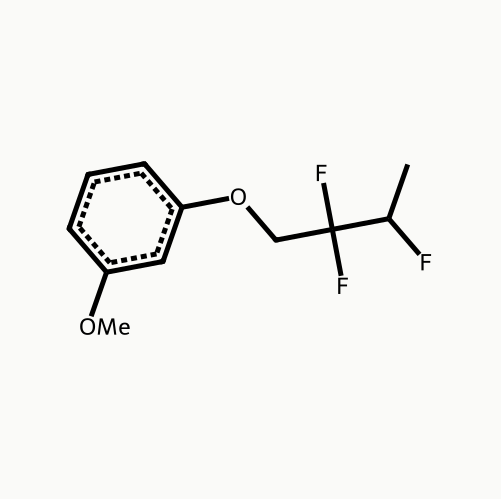 COc1cccc(OCC(F)(F)C(C)F)c1